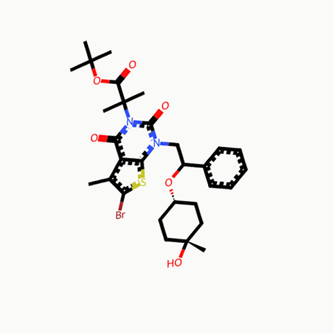 Cc1c(Br)sc2c1c(=O)n(C(C)(C)C(=O)OC(C)(C)C)c(=O)n2CC(O[C@H]1CC[C@@](C)(O)CC1)c1ccccc1